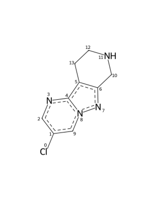 Clc1cnc2c3c(nn2c1)CNCC3